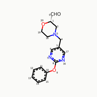 O=C[C@@H]1CN(Cc2cnc(Oc3ccccc3)nc2)CCO1